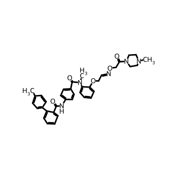 Cc1ccc(-c2ccccc2C(=O)Nc2ccc(C(=O)N(C)c3ccccc3OCC=NOCC(=O)N3CCN(C)CC3)cc2)cc1